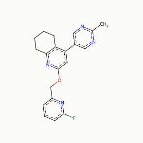 Cc1ncc(-c2cc(OCc3cccc(F)n3)nc3c2CCCC3)cn1